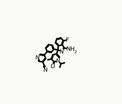 Cc1cc(C2(c3cccc(-c4cncc(C#N)c4)c3)N=C(N)c3c(F)cccc32)cn(C(C)C)c1=O